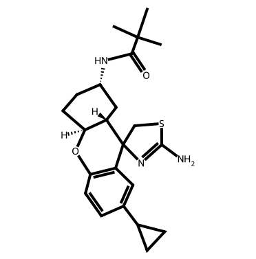 CC(C)(C)C(=O)N[C@H]1CC[C@@H]2Oc3ccc(C4CC4)cc3C3(CSC(N)=N3)[C@H]2C1